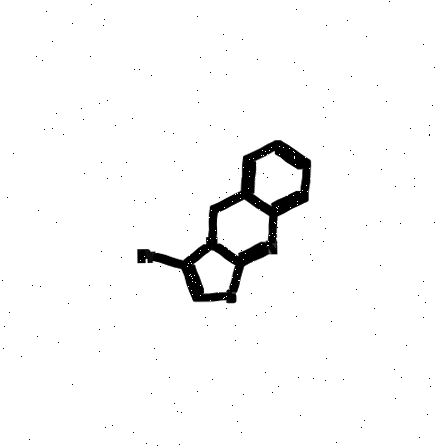 CC(C)C1=CSC2=Nc3ccccc3CN12